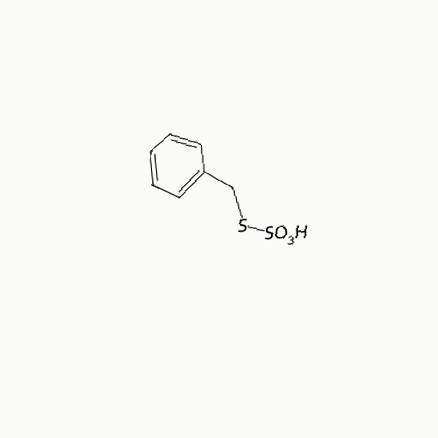 O=S(=O)(O)SCc1ccccc1